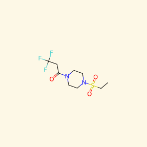 CCS(=O)(=O)N1CCN(C(=O)CC(F)(F)F)CC1